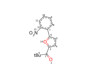 CC(C)(C)C(=O)c1ccc(-c2ccccc2[N+](=O)[O-])o1